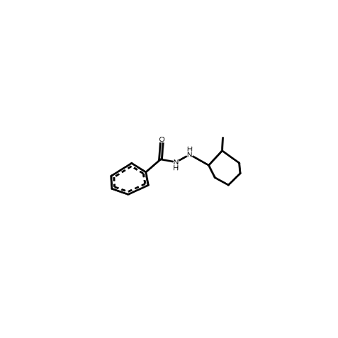 CC1CCCCC1NNC(=O)c1ccccc1